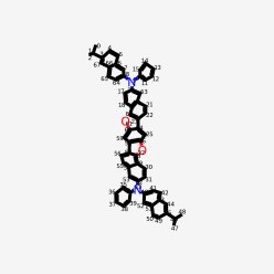 CC(C)c1ccc2cc(N(c3ccccc3)c3ccc4c(ccc5c6cc7oc8c9ccc(N(c%10ccccc%10)c%10ccc%11cc(C(C)C)ccc%11c%10)cc9ccc8c7cc6oc45)c3)ccc2c1